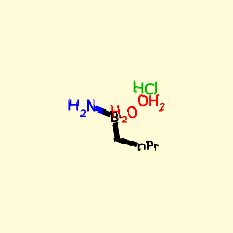 CCCC[B]N.Cl.O.O